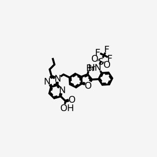 CCCc1nc2ccc(C(=O)O)nc2n1Cc1ccc2oc(-c3ccccc3NS(=O)(=O)C(F)(F)F)c(Br)c2c1